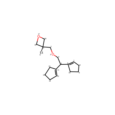 CCC1(COCC(C2=CCCC2)C2=CCCC2)COC1